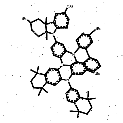 CC(C)(C)c1ccc(N2c3cc(N4c5ccc(C(C)(C)C)cc5C5(C)CC(C(C)(C)C)CCC45C)ccc3B3c4cc5c(cc4N(c4ccc6c(c4)C(C)(C)CCC6(C)C)c4cc(C(C)(C)C)cc2c43)C(C)(C)CCC5(C)C)c(-c2ccccc2)c1